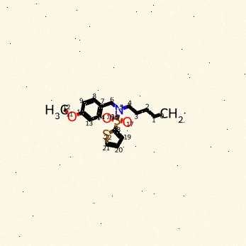 [CH2]CCCCN(Cc1ccc(OC)cc1)S(=O)(=O)c1cccs1